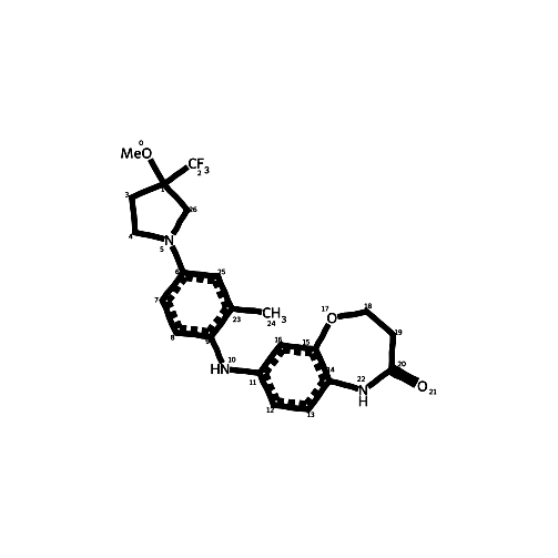 COC1(C(F)(F)F)CCN(c2ccc(Nc3ccc4c(c3)OCCC(=O)N4)c(C)c2)C1